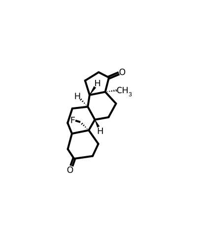 C[C@]12CC[C@H]3[C@@H](CCC4CC(=O)CC[C@@]43CF)[C@@H]1CCC2=O